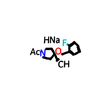 C#CC1(OCc2ccccc2F)CCN(C(C)=O)CC1.[NaH]